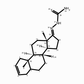 C[C@]12CC=CCC1CC[C@@H]1[C@@H]2CC[C@]2(C)C(=NNC(N)=S)CC[C@@H]12